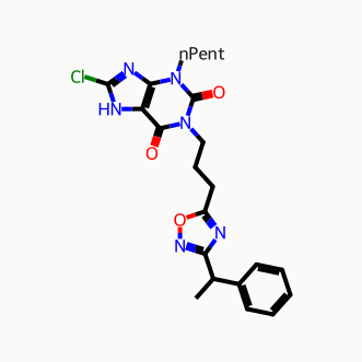 CCCCCn1c(=O)n(CCCc2nc(C(C)c3ccccc3)no2)c(=O)c2[nH]c(Cl)nc21